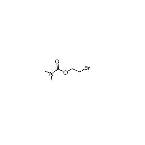 CN(C)C(=O)OCCBr